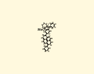 COC12CCCCC1(C)N(c1ccccc1)c1ccc(-c3ccc4ccc5c(-c6ccccc6)ccc6ccc3c4c65)cc12